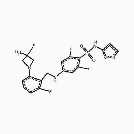 CC1(F)CN(c2cccc(F)c2CNc2cc(F)c(S(=O)(=O)Nc3ccon3)c(F)c2)C1